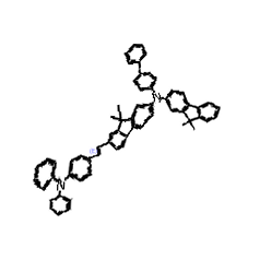 CC1(C)c2ccccc2-c2ccc(N(c3ccc(-c4ccccc4)cc3)c3ccc4c(c3)C(C)(C)c3cc(/C=C/c5ccc(N(c6ccccc6)c6ccccc6)cc5)ccc3-4)cc21